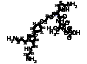 CC1(C)C(NC(=O)/C(=N\OCCOc2ccc(-c3cc(CNCCN)n(CCCN)n3)cc2)C2=CSC(N)N2)C(=O)N1OS(=O)(=O)O